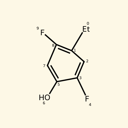 CCc1cc(F)c(O)cc1F